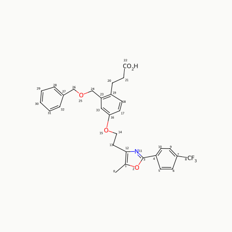 Cc1oc(-c2ccc(C(F)(F)F)cc2)nc1CCOc1ccc(CCC(=O)O)c(COCc2ccccc2)c1